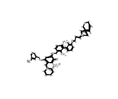 Cc1c(COc2cc(OCc3cncc(C#N)c3)c(CN3CCCC[C@H]3C(=O)O)cc2Cl)cccc1-c1cccc(OCCCN2CC3(CCCOC3)C2)c1C